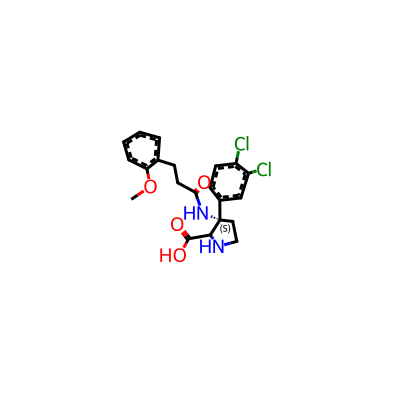 COc1ccccc1CCC(=O)N[C@]1(c2ccc(Cl)c(Cl)c2)CCNC1C(=O)O